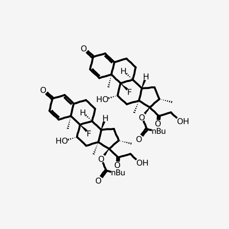 CCCCC(=O)O[C@]1(C(=O)CO)[C@@H](C)C[C@H]2[C@@H]3CCC4=CC(=O)C=C[C@]4(C)[C@@]3(F)[C@@H](O)C[C@@]21C.CCCCC(=O)O[C@]1(C(=O)CO)[C@@H](C)C[C@H]2[C@@H]3CCC4=CC(=O)C=C[C@]4(C)[C@@]3(F)[C@@H](O)C[C@@]21C